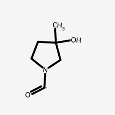 CC1(O)CCN([C]=O)C1